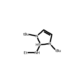 CCN[SiH]1N(C(C)(C)C)C=CN1C(C)(C)C